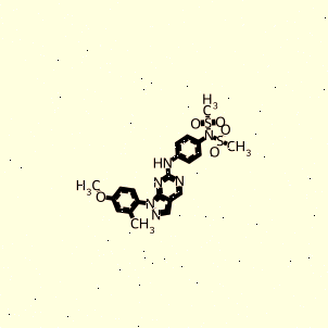 COc1ccc(-n2ncc3cnc(Nc4ccc(N(S(C)(=O)=O)S(C)(=O)=O)cc4)nc32)c(C)c1